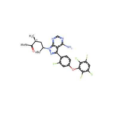 CCCCC(C[C@H](C)C(=O)NC)n1nc(-c2ccc(Oc3c(F)c(F)cc(F)c3F)cc2F)c2c(N)ncnc21